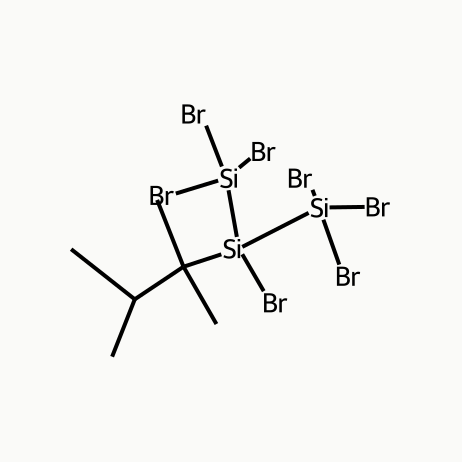 CC(C)C(C)(C)[Si](Br)([Si](Br)(Br)Br)[Si](Br)(Br)Br